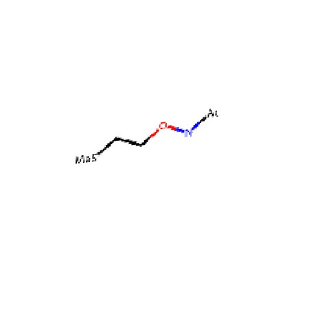 CSCCO[N]C(C)=O